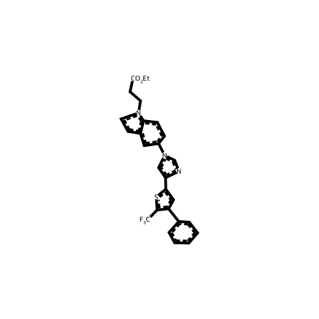 CCOC(=O)CCn1ccc2cc(-n3cnc(-c4cc(-c5ccccc5)c(C(F)(F)F)s4)c3)ccc21